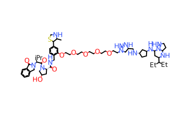 CCC(CC)C1CC(N[C@H]2CC[C@H](NCC3CN(CCOCCOCCOCCOCCOc4cc(C5SCNC5C)ccc4CNC(=O)[C@@H]4C[C@@H](O)CN4C(=O)[C@H](C(C)C)N4Cc5ccccc5C4=O)NN3)C2)N2NCCC2N1